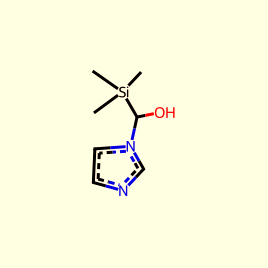 C[Si](C)(C)C(O)n1ccnc1